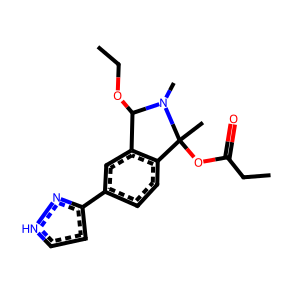 CCOC1c2cc(-c3cc[nH]n3)ccc2C(C)(OC(=O)CC)N1C